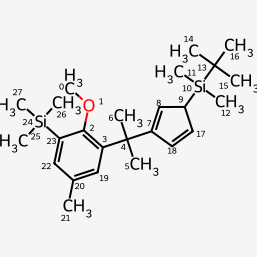 COc1c(C(C)(C)C2=CC([Si](C)(C)C(C)(C)C)C=C2)cc(C)cc1[Si](C)(C)C